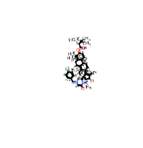 CC(C)C1=C2[C@H]3CC[C@@H]4[C@@]5(C)CCC(OC(=O)CC(C)(C)C(=O)O)C(C)(C)[C@@H]5CC[C@@]4(C)[C@]3(C)CC[C@@]2([C@H]2CN(Cc3ccc(Cl)cc3)CC(=O)N2C)CC1=O